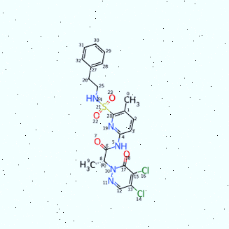 Cc1ccc(NC(=O)[C@@H](C)n2ncc(Cl)c(Cl)c2=O)nc1S(=O)(=O)NCCc1ccccc1